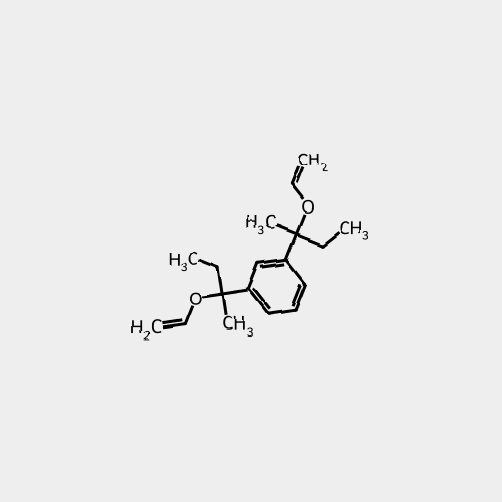 C=COC(C)(CC)c1cccc(C(C)(CC)OC=C)c1